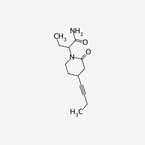 CCC#CC1CCN(C(CC)C(N)=O)C(=O)C1